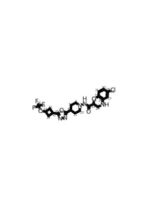 O=C(NN1CCC(c2nnc(C3CC(OC(F)(F)F)C3)o2)CC1)C1CNc2cc(Cl)ccc2O1